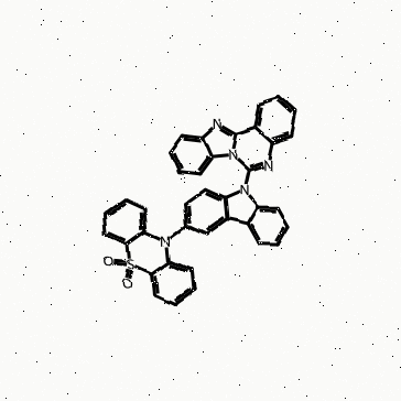 O=S1(=O)c2ccccc2N(c2ccc3c(c2)c2ccccc2n3-c2nc3ccccc3c3nc4ccccc4n23)c2ccccc21